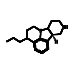 CCCC1CCN2c3c1cccc3[C@@H]1CNCCC12